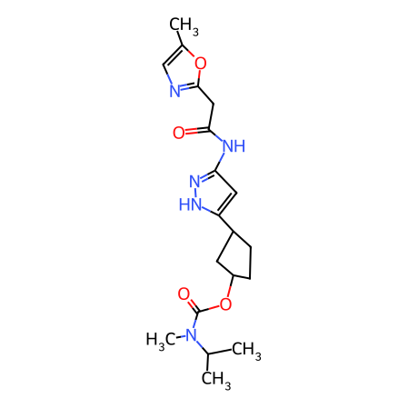 Cc1cnc(CC(=O)Nc2cc(C3CCC(OC(=O)N(C)C(C)C)C3)[nH]n2)o1